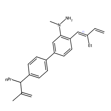 C=C/C(=C/c1ccc(-c2ccc(C(CCC)C(=C)C)cc2)cc1N(C)N)CC